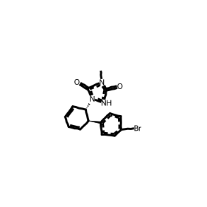 Cn1c(=O)[nH]n([C@H]2C=CC=C[C@@H]2c2ccc(Br)cc2)c1=O